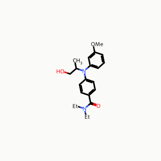 CCN(CC)C(=O)c1ccc(N(c2cccc(OC)c2)C(C)CO)cc1